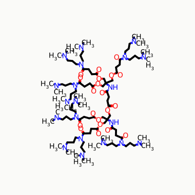 CN(C)CCCN(CCCN(C)C)C(=O)CCC(=O)NC(COC(=O)CCC(=O)NC(COC(=O)CCC(=O)N(CCCN(C)C)CCCN(C)C)(COC(=O)CCC(=O)N(CCCN(C)C)CCCN(C)C)COC(=O)CCC(=O)N(CCCN(C)C)CCCN(C)C)(COC(=O)CCC(=O)N(CCCN(C)C)CCCN(C)C)COC(=O)CCC(=O)N(CCCN(C)C)CCCN(C)C